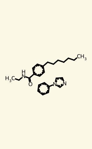 CCCCCCCc1ccc(C(=O)NCC)cc1.c1ccc(-n2ccnc2)cc1